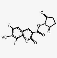 O=C(ON1C(=O)CCC1=O)c1cc2cc(F)c(O)c(F)c2oc1=O